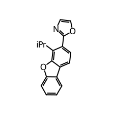 CC(C)c1c(-c2ncco2)ccc2c1oc1ccccc12